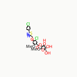 COc1cc(OCc2nnc(-c3ccc(Cl)cc3)s2)c(Cl)cc1C(=O)O[C@H]1[C@@H](OC)O[C@H](CO)[C@@H](O)[C@@H]1O